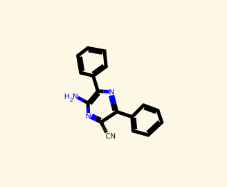 N#Cc1nc(N)c(-c2ccccc2)nc1-c1ccccc1